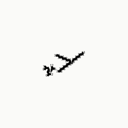 CC(C)[CH2][Al]([CH2]C(C)C)[CH2]C(C)C.CCCCCCC[CH2][Al]([CH2]CCCCCCC)[CH2]CCCCCCC